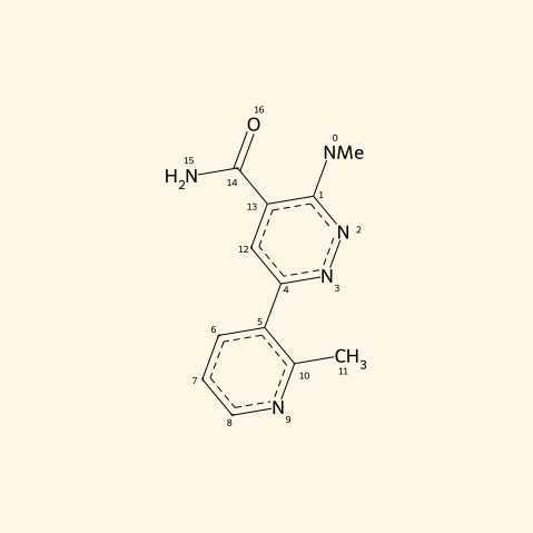 CNc1nnc(-c2cccnc2C)cc1C(N)=O